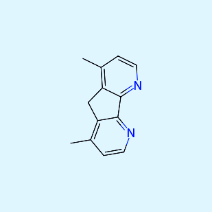 Cc1ccnc2c1Cc1c(C)ccnc1-2